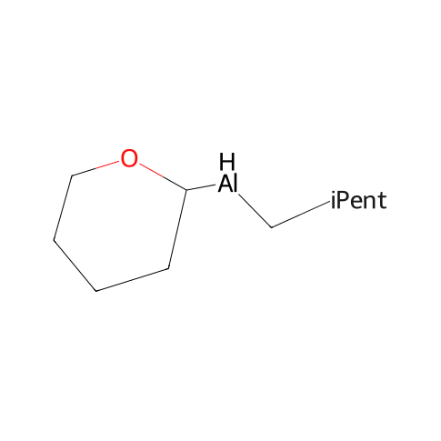 CCCC(C)[CH2][AlH][CH]1CCCCO1